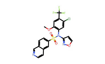 COc1cc(C(F)(F)F)c(Cl)cc1N(c1ccon1)S(=O)(=O)c1ccc2cnccc2c1